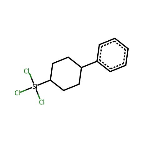 Cl[Si](Cl)(Cl)C1CCC(c2ccccc2)CC1